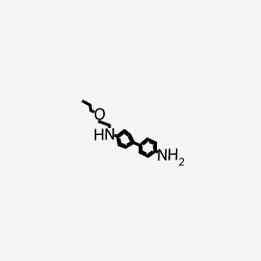 CCCOCCNc1ccc(-c2ccc(N)cc2)cc1